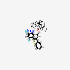 CC(C)(C)[Si](C)(C)OCCCc1c(-c2cc(N)c(F)cc2F)sc2ccccc12